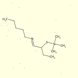 CCCCC/N=C/C(CC)S[Si](C)(C)C